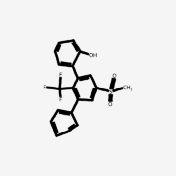 CS(=O)(=O)c1cc(-c2ccccc2)c(C(F)(F)F)c(-c2ccccc2O)c1